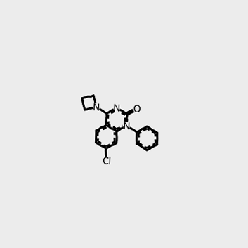 O=c1nc(N2CCC2)c2ccc(Cl)cc2n1-c1ccccc1